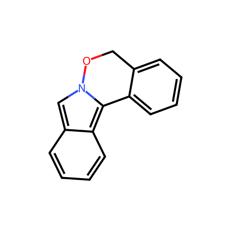 c1ccc2c(c1)COn1cc3ccccc3c1-2